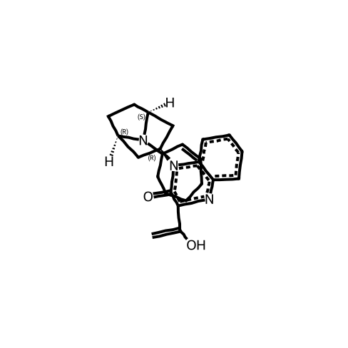 C=C(O)c1nc2ccccc2n([C@H]2C[C@H]3CC[C@@H](C2)N3C2C=CCCCC2)c1=O